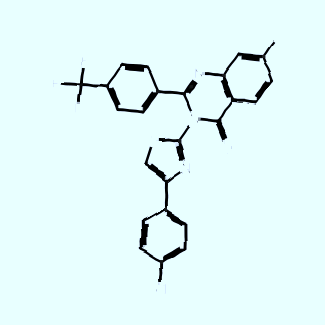 O=c1c2ccc(F)cc2nc(-c2ccc(C(F)(F)F)cc2)n1-c1nc(-c2ccc(Cl)cc2)cs1